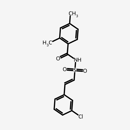 Cc1ccc(C(=O)NS(=O)(=O)C=Cc2cccc(Cl)c2)c(C)c1